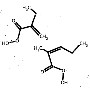 C=C(CC)C(=O)OO.CCC=C(C)C(=O)OO